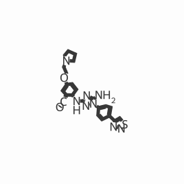 Nc1nc(NC2C=CC(OCCN3CCCC3)=CC2=C=O)nn1-c1ccc(-c2csnn2)cc1